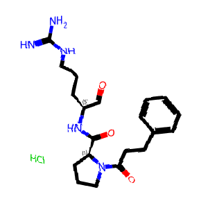 Cl.N=C(N)NCCC[C@@H](C=O)NC(=O)[C@@H]1CCCN1C(=O)CCc1ccccc1